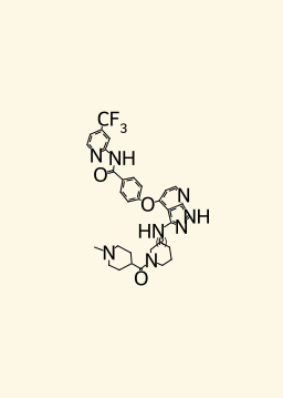 CN1CCC(C(=O)N2CCC[C@@H](Nc3n[nH]c4nccc(Oc5ccc(C(=O)Nc6cc(C(F)(F)F)ccn6)cc5)c34)C2)CC1